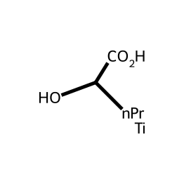 CCCC(O)C(=O)O.[Ti]